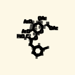 CCOC(=O)C(=Cc1cccc(C)c1)O[C@H]1O[C@@H](COC(C)=O)[C@@H](OC(C)=O)[C@@H](OC(C)=O)[C@@H]1OC(C)=O